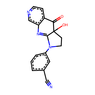 N#Cc1cccc(N2CCC3(O)C(=O)c4ccncc4N=C23)c1